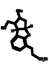 CCOC(=O)CCc1cccc2c1O[C@@H]1CC(OC(C)=O)C(CO)[C@H]21